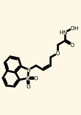 O=C(COC/C=C\CN1c2cccc3cccc(c23)S1(=O)=O)NO